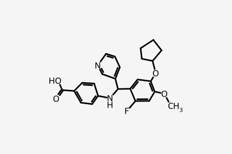 COc1cc(F)c(C(Nc2ccc(C(=O)O)cc2)c2cccnc2)cc1OC1CCCC1